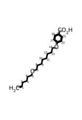 C=CCCCCOCCCCCCCCOc1ccc(C(=O)O)cc1